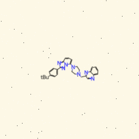 CC(C)(C)c1ccc(-c2nc3cccc(N4CCN(Cc5cnc6ccccc6n5)CC4)n3n2)cc1